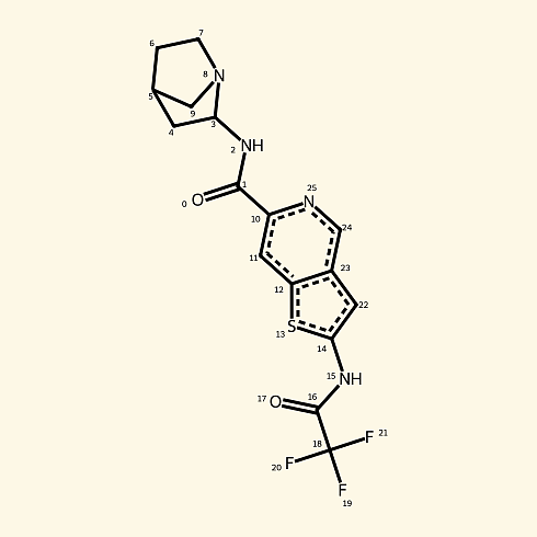 O=C(NC1CC2CCN1C2)c1cc2sc(NC(=O)C(F)(F)F)cc2cn1